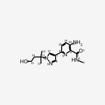 CNC(=O)c1nc(-c2cnn(C(C)(C)CCO)c2)ccc1N